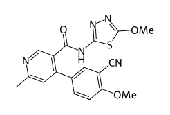 COc1nnc(NC(=O)c2cnc(C)cc2-c2ccc(OC)c(C#N)c2)s1